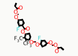 C=CC(=O)OCOc1ccc(OCOc2ccc(OC(=O)c3ccc(OCOC(=O)C=C)cc3F)c(C(F)(F)F)c2C(F)(F)F)c(F)c1